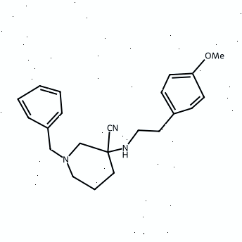 COc1ccc(CCNC2(C#N)CCCN(Cc3ccccc3)C2)cc1